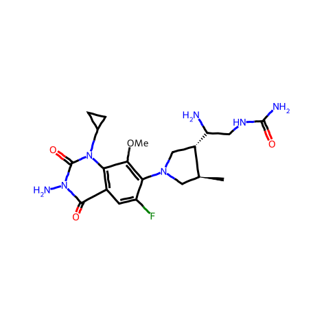 COc1c(N2C[C@H](C(N)CNC(N)=O)[C@@H](C)C2)c(F)cc2c(=O)n(N)c(=O)n(C3CC3)c12